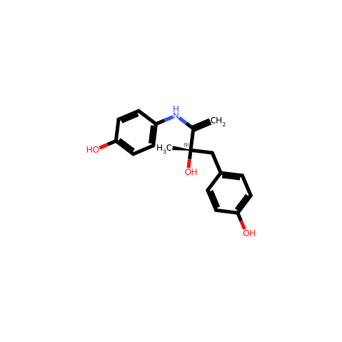 C=C(Nc1ccc(O)cc1)[C@@](C)(O)Cc1ccc(O)cc1